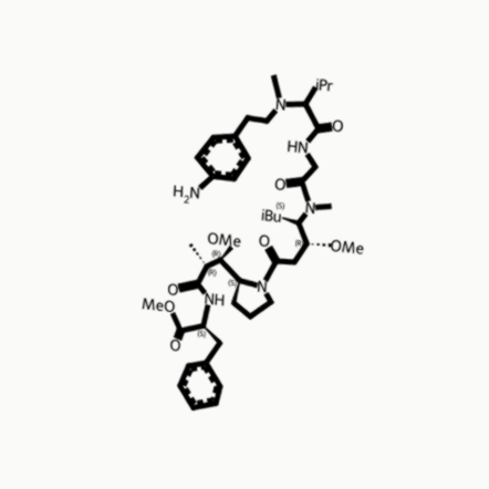 CC[C@H](C)C([C@@H](CC(=O)N1CCC[C@H]1[C@H](OC)[C@@H](C)C(=O)N[C@@H](Cc1ccccc1)C(=O)OC)OC)N(C)C(=O)CNC(=O)C(C(C)C)N(C)CCc1ccc(N)cc1